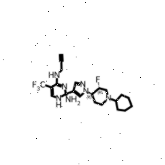 C#CCNC1=NC(N)(c2cnn([C@@H]3CCN(C4CCCCC4)C[C@H]3F)c2)NC=C1C(F)(F)F